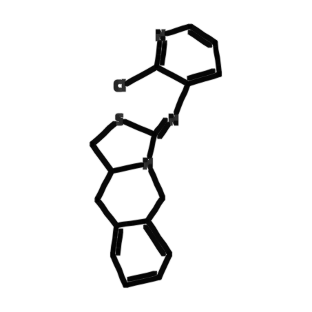 Clc1ncccc1N=C1SCC2Cc3ccccc3CN12